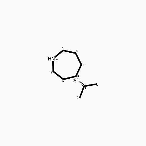 CC(C)[C@H]1CCCNCC1